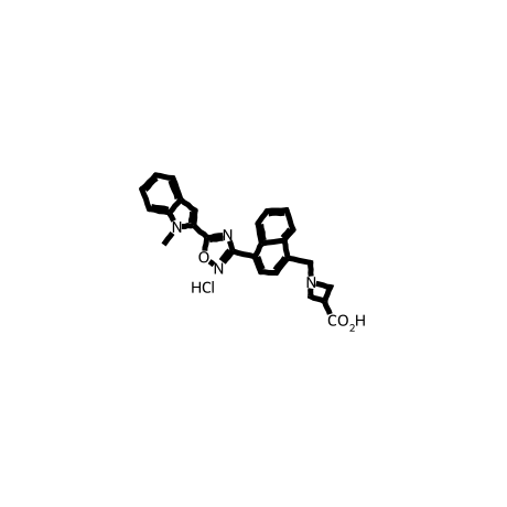 Cl.Cn1c(-c2nc(-c3ccc(CN4CC(C(=O)O)C4)c4ccccc34)no2)cc2ccccc21